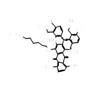 CCCCCCCCOc1c(Nc2c(CC)ccc(Cl)c2CC)c(Nc2c(CC)ccc(Cl)c2CC)c(F)c2c1C(=O)c1c(O)ccc(O)c1C2=O